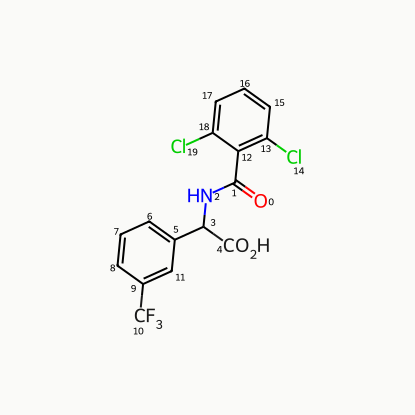 O=C(NC(C(=O)O)c1cccc(C(F)(F)F)c1)c1c(Cl)cccc1Cl